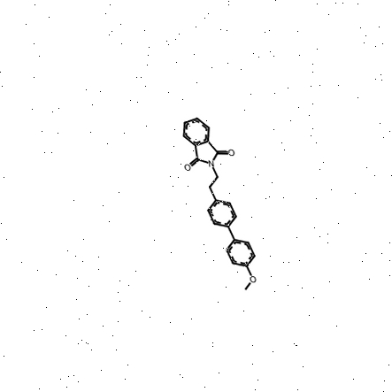 COc1ccc(-c2ccc(CCN3C(=O)c4ccccc4C3=O)cc2)cc1